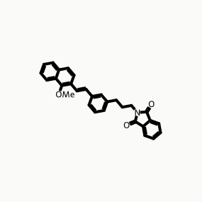 COc1c(C=Cc2cccc(CCCN3C(=O)c4ccccc4C3=O)c2)ccc2ccccc12